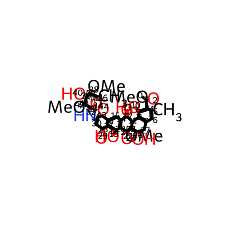 COC(=O)c1c(C)cc2c(c1O)C1C(=O)c3cc4c(c(O)c3C(=O)[C@]1(OC)C(O)C2)C(=O)C=C(N[C@H]1O[C@@H](C)[C@H](OC)[C@@H](O)[C@H]1OC)C4=O